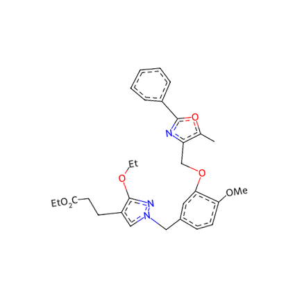 CCOC(=O)CCc1cn(Cc2ccc(OC)c(OCc3nc(-c4ccccc4)oc3C)c2)nc1OCC